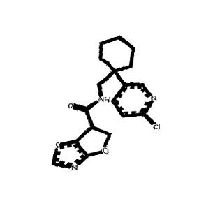 O=C(NCC1(c2ccc(Cl)nc2)CCCCC1)C1COc2ncsc21